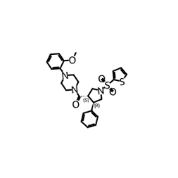 COc1ccccc1N1CCN(C(=O)[C@@H]2CN(S(=O)(=O)c3cccs3)C[C@H]2c2ccccc2)CC1